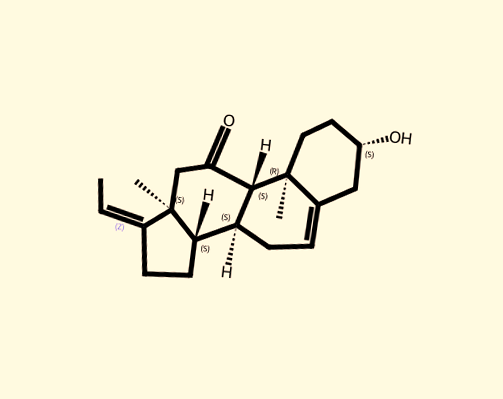 C/C=C1/CC[C@H]2[C@@H]3CC=C4C[C@@H](O)CC[C@]4(C)[C@H]3C(=O)C[C@]12C